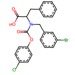 O=C(O)C(Cc1ccccc1)N(Cc1cccc(Br)c1)C(=O)Oc1ccc(Cl)cc1